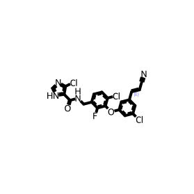 N#C/C=C/c1cc(Cl)cc(Oc2c(Cl)ccc(CNC(=O)c3[nH]cnc3Cl)c2F)c1